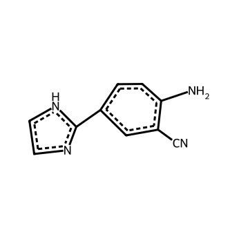 N#Cc1cc(-c2ncc[nH]2)ccc1N